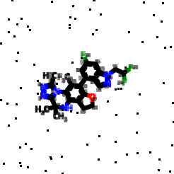 Cc1nnc2n1-c1c(c3c(c(-c4cc(F)cc5c4cnn5CC(F)F)c1C(F)(F)F)OCC3)NC2(C)C